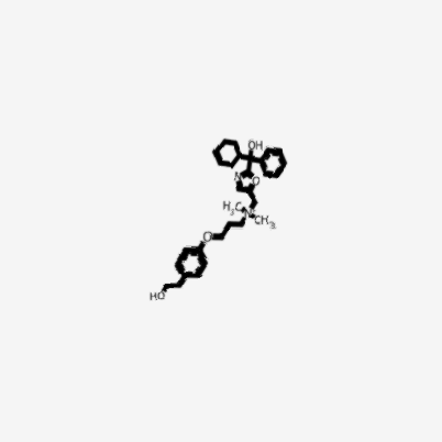 C[N+](C)(CCCOc1ccc(CCO)cc1)Cc1cnc(C(O)(c2ccccc2)C2CCCCC2)o1